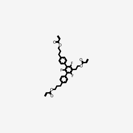 C=CC(=O)OCCCc1ccc(-c2c(F)c(CCOC(=O)C=C)c(F)c(-c3ccc(CCCOC(=O)C=C)cc3)c2F)cc1